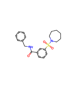 O=C(NCc1ccccc1)c1cccc(S(=O)(=O)N2CCCCCC2)c1